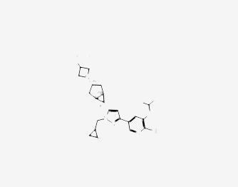 COC1CN([C@H]2C[C@@H]3[C@H](C2)[C@H]3c2cc(-c3cnc(N)c(OC(F)F)c3)nn2CC2CC2)C1